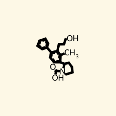 Cc1c(C2CCCCN2C(=O)O)ccc(-c2ccccc2)c1CCCO